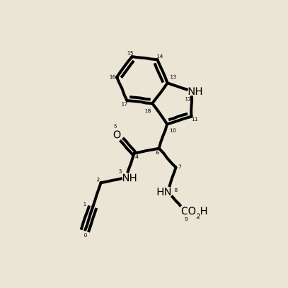 C#CCNC(=O)C(CNC(=O)O)c1c[nH]c2ccccc12